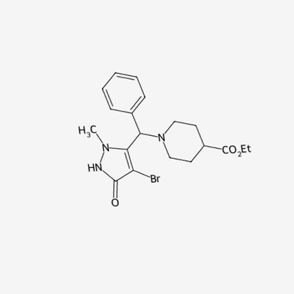 CCOC(=O)C1CCN(C(c2ccccc2)c2c(Br)c(=O)[nH]n2C)CC1